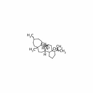 C=C(C)[C@H]1CCC[C@@]2(N)[C@@H]3CC[C@]4(C)CC[C@@H](C)CC[C@]4(C)[C@@]3(N)CC[C@]12C